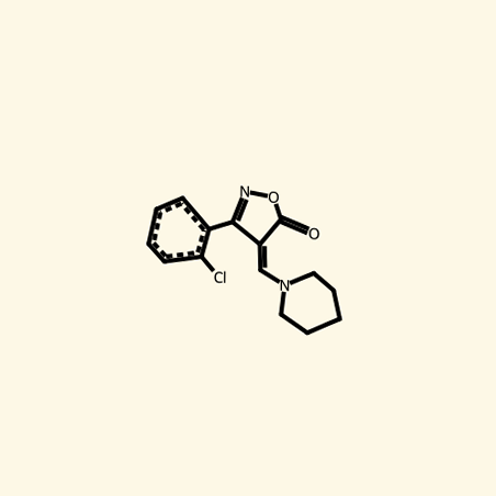 O=C1ON=C(c2ccccc2Cl)/C1=C/N1CCCCC1